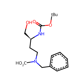 CC(C)(C)OC(=O)N[C@H](CO)CCN(Cc1ccccc1)C(=O)O